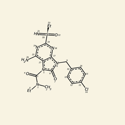 CCN(C)C(=O)n1c(=O)n(Cc2ccc(Cl)cc2)c2nc([S@](=N)(=O)CC)nc(N)c21